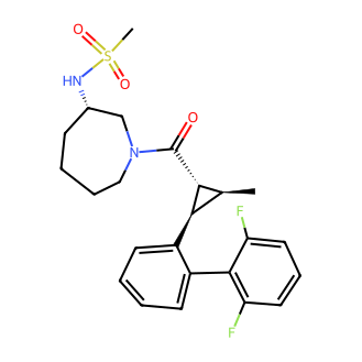 C[C@@H]1[C@@H](C(=O)N2CCCC[C@H](NS(C)(=O)=O)C2)[C@@H]1c1ccccc1-c1c(F)cccc1F